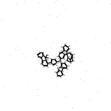 CC1(C)c2ccccc2-c2cccc(-c3ccc(N(c4ccc5c(c4)C4(c6ccccc6-5)C5CC6CC(C5)CC4C6)c4cccc5c4oc4ccccc45)cc3)c21